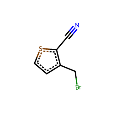 N#Cc1sccc1CBr